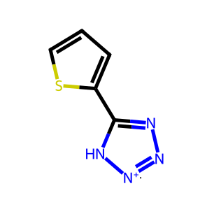 c1csc(C2=NN=[N+]N2)c1